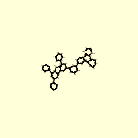 c1ccc(-c2cc(-c3ccccc3)c3sc4c(-c5ccccc5)cc(-c5cccc(-c6ccc7c(c6)c6ccccc6c6nccnc76)c5)cc4c3c2)cc1